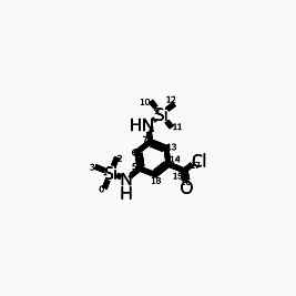 C[Si](C)(C)Nc1cc(N[Si](C)(C)C)cc(C(=O)Cl)c1